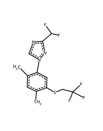 Cc1cc(C)c(-n2cnc(C(F)F)n2)cc1SCC(F)(F)F